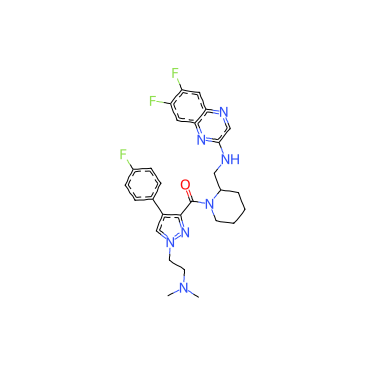 CN(C)CCn1cc(-c2ccc(F)cc2)c(C(=O)N2CCCCC2CNc2cnc3cc(F)c(F)cc3n2)n1